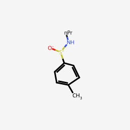 CCCN[S+]([O-])c1ccc(C)cc1